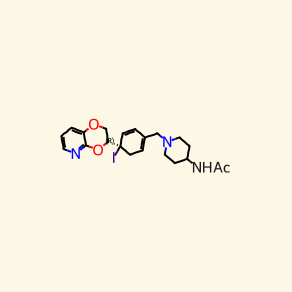 CC(=O)NC1CCN(CC2=CCC(I)([C@H]3COc4cccnc4O3)C=C2)CC1